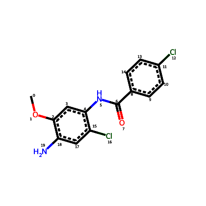 COc1cc(NC(=O)c2ccc(Cl)cc2)c(Cl)cc1N